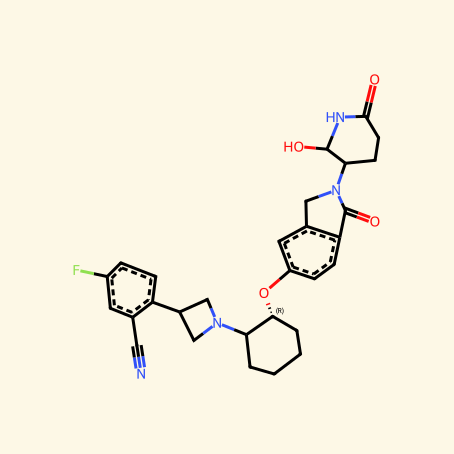 N#Cc1cc(F)ccc1C1CN(C2CCCC[C@H]2Oc2ccc3c(c2)CN(C2CCC(=O)NC2O)C3=O)C1